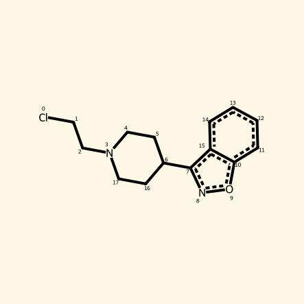 ClCCN1CCC(c2noc3ccccc23)CC1